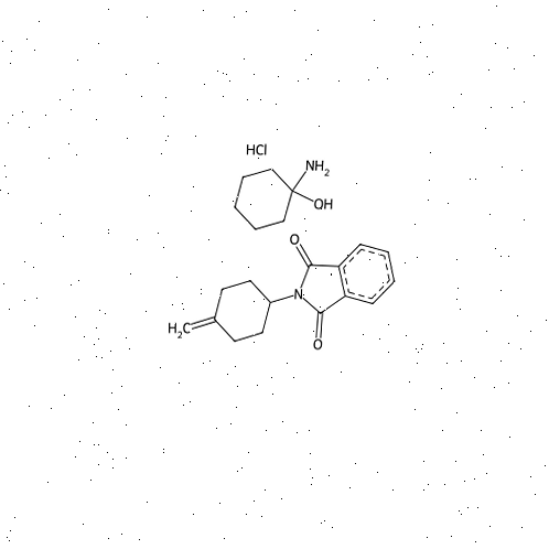 C=C1CCC(N2C(=O)c3ccccc3C2=O)CC1.Cl.NC1(O)CCCCC1